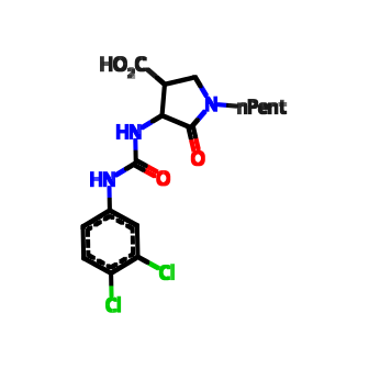 CCCCCN1CC(C(=O)O)C(NC(=O)Nc2ccc(Cl)c(Cl)c2)C1=O